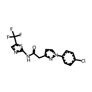 O=C(Cc1ccn(-c2ccc(Cl)cc2)n1)Nc1ncc(C(F)(F)F)s1